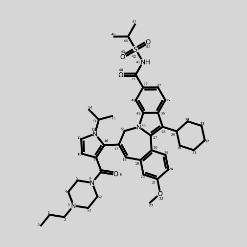 CCCN1CCN(C(=O)c2ccn(C(C)C)c2C2=Cc3cc(OC)ccc3-c3c(C4CCCCC4)c4ccc(C(=O)NS(=O)(=O)C(C)C)cc4n3C2)CC1